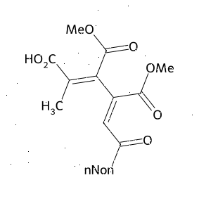 CCCCCCCCCC(=O)C=C(C(=O)OC)C(C(=O)OC)=C(C)C(=O)O